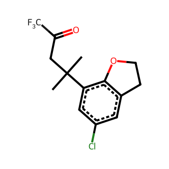 CC(C)(CC(=O)C(F)(F)F)c1cc(Cl)cc2c1OCC2